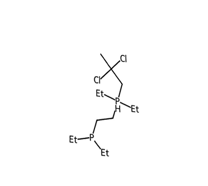 CCP(CC)CC[PH](CC)(CC)CC(C)(Cl)Cl